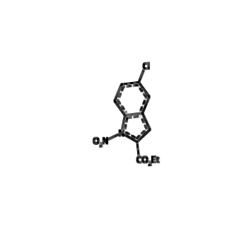 CCOC(=O)c1cc2cc(Cl)ccc2n1[N+](=O)[O-]